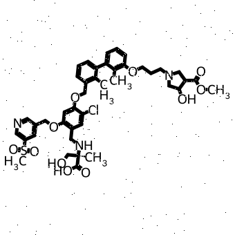 COC(=O)C1CN(CCCOc2cccc(-c3cccc(COc4cc(OCc5cncc(S(C)(=O)=O)c5)c(CN[C@](C)(CO)C(=O)O)cc4Cl)c3C)c2C)CC1O